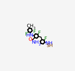 Cc1ccc(Nc2c(C(N)=O)cc(Cc3cccc(NS)c3F)c(F)c2F)c(F)c1